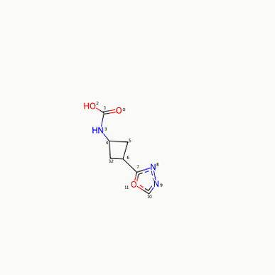 O=C(O)NC1CC(c2nnco2)C1